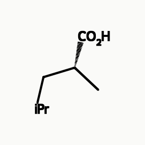 CC(C)C[C@@H](C)C(=O)O